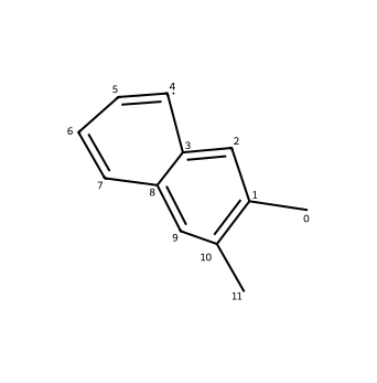 Cc1cc2[c]cccc2cc1C